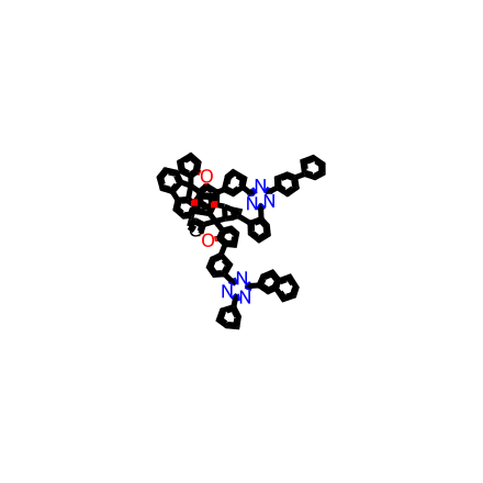 C1=CC2c3ccccc3C3(c4ccccc4Oc4c(-c5cccc(-c6nc(-c7ccccc7)nc(-c7ccc8ccccc8c7)n6)c5)cccc43)C2C=C1c1ccccc1-c1nc(-c2ccc(-c3ccccc3)cc2)nc(-c2cccc(-c3cccc4c3Oc3ccccc3C43c4ccccc4-c4ccccc43)c2)n1